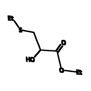 CCOC(=O)C(O)CSCC